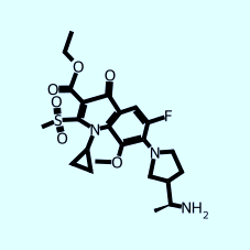 CCOC(=O)c1c(S(C)(=O)=O)n(C2CC2)c2c(OC)c(N3CCC([C@H](C)N)C3)c(F)cc2c1=O